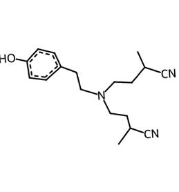 CC(C#N)CCN(CCc1ccc(O)cc1)CCC(C)C#N